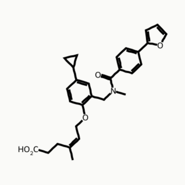 CC(=CCOc1ccc(C2CC2)cc1CN(C)C(=O)c1ccc(-c2ccco2)cc1)CCC(=O)O